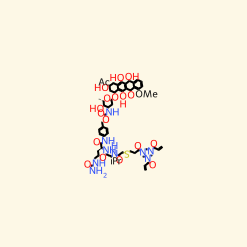 C=CC(=O)N1CN(C(=O)C=C)CN(C(=O)CCSCC(=O)N[C@H](C(=O)N[C@@H](CCCNC(N)=O)C(=O)Nc2ccc(COC(=O)N[C@H]3C[C@H](O[C@H]4C[C@](O)(C(C)=O)Cc5c(O)c6c(c(O)c54)C(=O)c4c(OC)cccc4C6O)O[C@@H](C)[C@H]3O)cc2)C(C)C)C1